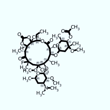 CC[C@H]1OC(=O)[C@H](C)[C@@H](OC2C[C@@](C)(OC)[C@@H](OC(C)=O)[C@H](C)O2)[C@H](C)[C@@H](O[C@@H]2O[C@H](C)C[C@H](N(C)C)[C@H]2OC)[C@](C)(OC)C[C@](C)(F)C(=O)[C@H](C)[C@H]2OC(=O)O[C@@]21C